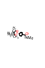 CNC(=O)c1ccc(B2OCC(C)(C)C(C)(C)O2)cc1